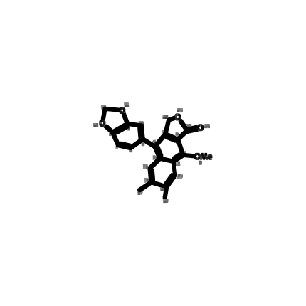 COc1c2c(c(-c3ccc4c(c3)OCO4)c3cc(C)c(C)cc13)COC2=O